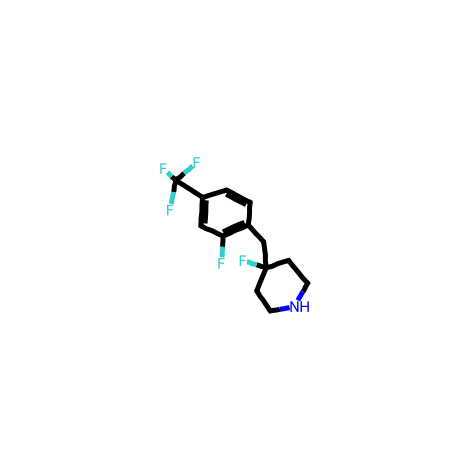 Fc1cc(C(F)(F)F)ccc1CC1(F)CCNCC1